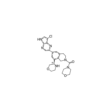 O=C(N1CCOCC1)N1CCc2cc(-c3cnc4[nH]cc(Cl)c4n3)cc([C@@H]3COCCN3)c2C1